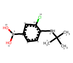 CC(C)(C)Bc1ccc(B(O)O)cc1Cl